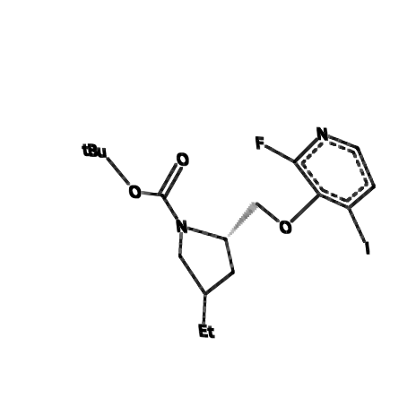 CCC1C[C@@H](COc2c(I)ccnc2F)N(C(=O)OC(C)(C)C)C1